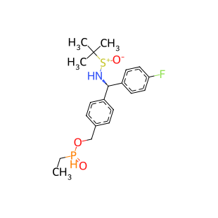 CC[PH](=O)OCc1ccc([C@@H](N[S+]([O-])C(C)(C)C)c2ccc(F)cc2)cc1